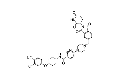 N#Cc1ccc(OC2CCC(NC(=O)c3ccc(N4CCN(Cc5ccc6c(c5)C(=O)N(C5CCC(=O)NC5=O)C6=O)CC4)nn3)CC2)cc1Cl